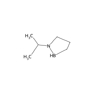 CC(C)N1BCCC1